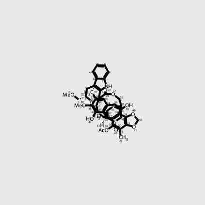 COC[C@@H]1Cc2c([nH]c3ccccc23)[C@@]2(CS[C@@H]3c4c(OC(C)=O)c(C)c5c(c4C(COC2=O)N2C4(O)Cc6cc(C)c(OC)c(O)c6C(N(C)C4)[C@]32N)OCO5)N1